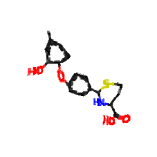 Cc1ccc(Oc2ccc(C3NC(C(=O)O)CCS3)cc2)c(O)c1